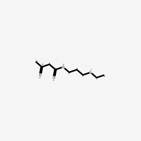 CCSCCCOC(=O)CC(C)=O